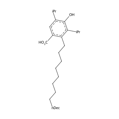 CCCCCCCCCCCCCCCCCCc1c(C(=O)O)cc(C(C)C)c(O)c1C(C)C